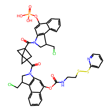 O=C(NCCSSc1ccccn1)Oc1cc2c(c3ccccc13)C(CCl)CN2C(=O)C12CC3(C(=O)N4CC(CCl)c5c4cc(OP(=O)(O)O)c4ccccc54)CC13C2